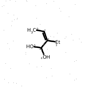 CC=C(CC)C(O)O